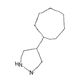 C1CCCC(C2C[N]NC2)CC1